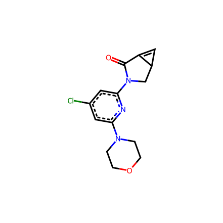 O=C1C2=CC2CN1c1cc(Cl)cc(N2CCOCC2)n1